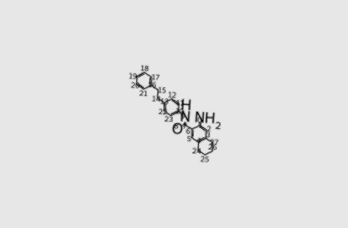 Nc1cc2c(cc1C(=O)Nc1ccc(CCc3ccccc3)cc1)CCCC2